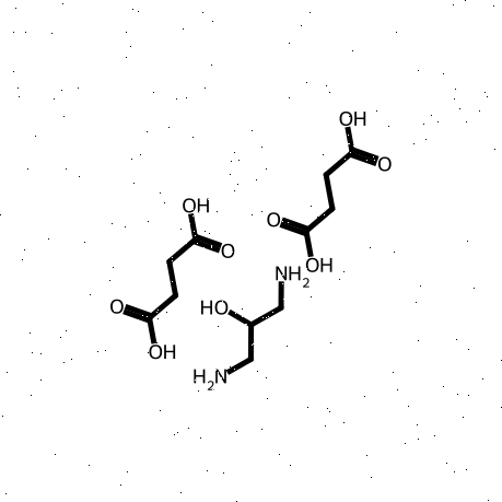 NCC(O)CN.O=C(O)CCC(=O)O.O=C(O)CCC(=O)O